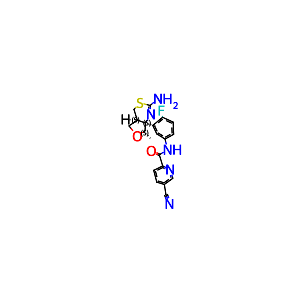 C[C@@H]1OC[C@H]2CSC(N)=N[C@]21c1cc(NC(=O)c2ccc(C#N)cn2)ccc1F